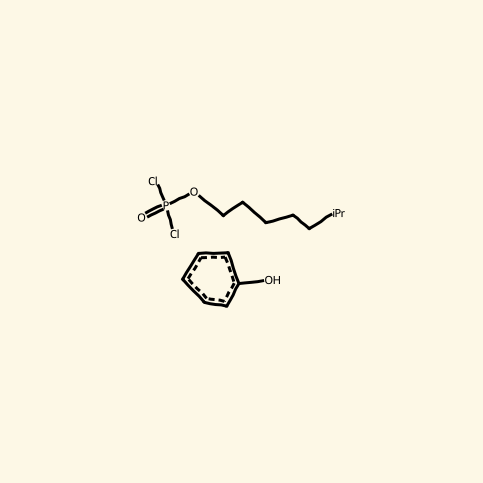 CC(C)CCCCCOP(=O)(Cl)Cl.Oc1ccccc1